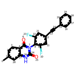 Cc1ccc2c(=O)n(-c3c(F)cc(C#Cc4ccccc4)cc3F)c(=O)[nH]c2c1